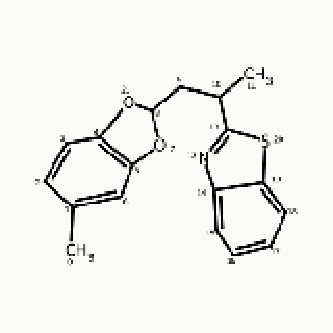 Cc1ccc2c(c1)OC(CC(C)c1nc3ccccc3s1)O2